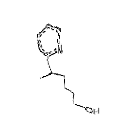 CC(CCCCO)c1ccccn1